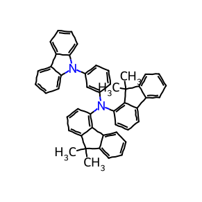 CC1(C)c2ccccc2-c2c(N(c3cccc(-n4c5ccccc5c5ccccc54)c3)c3cccc4c3C(C)(C)c3ccccc3-4)cccc21